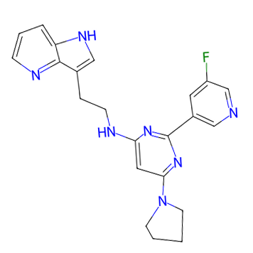 Fc1cncc(-c2nc(NCCc3c[nH]c4cccnc34)cc(N3CCCC3)n2)c1